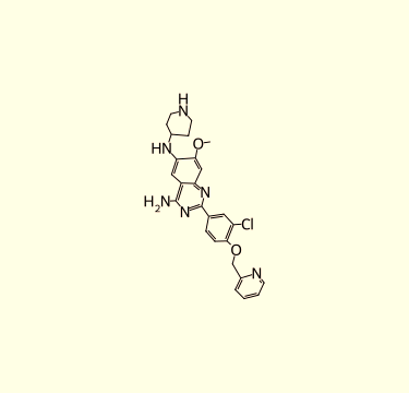 COc1cc2nc(-c3ccc(OCc4ccccn4)c(Cl)c3)nc(N)c2cc1NC1CCNCC1